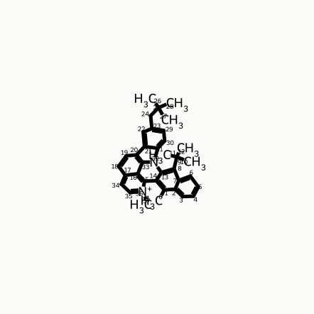 Cc1c2ccccc2c(C(C)(C)C)c2c1c1c3c(ccc4c5cc(CC(C)(C)C)ccc5n2c43)cc[n+]1C